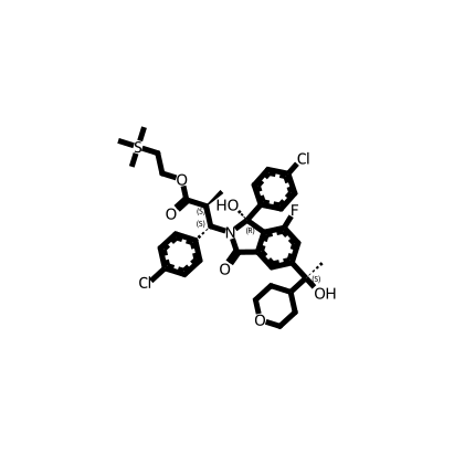 C[C@H](C(=O)OCCS(C)(C)C)[C@@H](c1ccc(Cl)cc1)N1C(=O)c2cc([C@@](C)(O)C3CCOCC3)cc(F)c2[C@]1(O)c1ccc(Cl)cc1